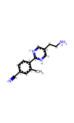 Cc1cc(C#N)ccc1-c1ncc(CCN)cn1